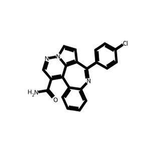 NC(=O)c1cnn2ccc3c2c1-c1ccccc1N=C3c1ccc(Cl)cc1